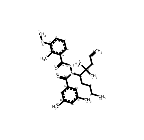 C=CCC(C)(C)C(CCCC)N(NC(=O)c1cccc(OC)c1C)C(=O)c1cc(C)cc(C)c1